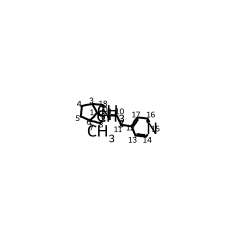 CC1(C)C2CC[C@]1(C)CN(CCc1ccncc1)C2